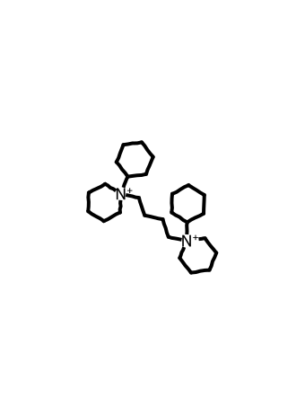 C1CCC([N+]2(CCCC[N+]3(C4CCCCC4)CCCCC3)CCCCC2)CC1